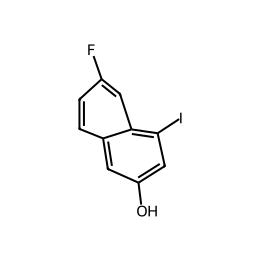 Oc1cc(I)c2cc(F)ccc2c1